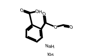 O=COC(=O)c1ccccc1C(=O)O.[KH].[NaH]